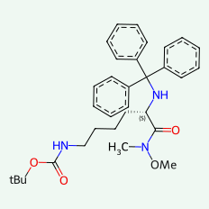 CON(C)C(=O)[C@H](CCCCNC(=O)OC(C)(C)C)NC(c1ccccc1)(c1ccccc1)c1ccccc1